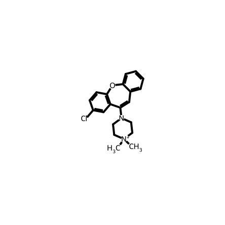 C[N+]1(C)CCN(C2=Cc3ccccc3Oc3ccc(Cl)cc32)CC1